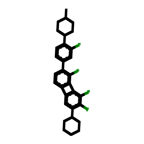 CC1CCC(c2ccc(-c3ccc4c(c3F)-c3c-4cc(C4CCCCC4)c(F)c3F)cc2F)CC1